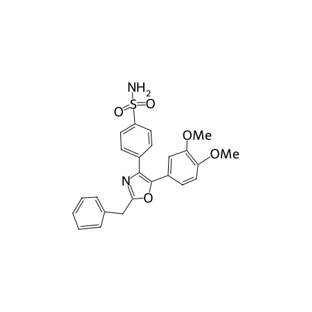 COc1ccc(-c2oc(Cc3ccccc3)nc2-c2ccc(S(N)(=O)=O)cc2)cc1OC